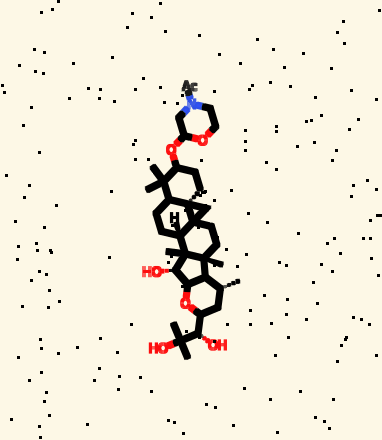 CC(=O)N1CCOC(OC2CC[C@]34CC35CC[C@]3(C)C6C(OC([C@H](O)C(C)(C)O)C[C@H]6C)[C@H](O)C3(C)[C@@H]5CCC4C2(C)C)C1